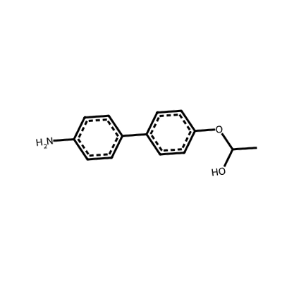 CC(O)Oc1ccc(-c2ccc(N)cc2)cc1